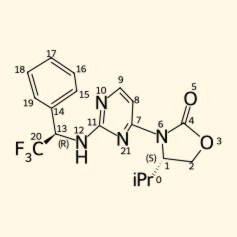 CC(C)[C@H]1COC(=O)N1c1ccnc(N[C@H](c2ccccc2)C(F)(F)F)n1